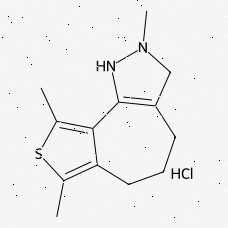 Cc1sc(C)c2c1CCCC1=C2NN(C)C1.Cl